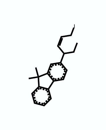 CCC(/C=C\CI)c1ccc2c(c1)C(C)(C)c1ccccc1-2